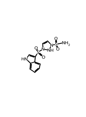 NS(=O)(=O)N1C=CN(S(=O)(=O)c2c[nH]c3ccccc23)N1